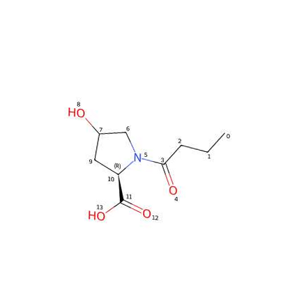 CCCC(=O)N1CC(O)C[C@@H]1C(=O)O